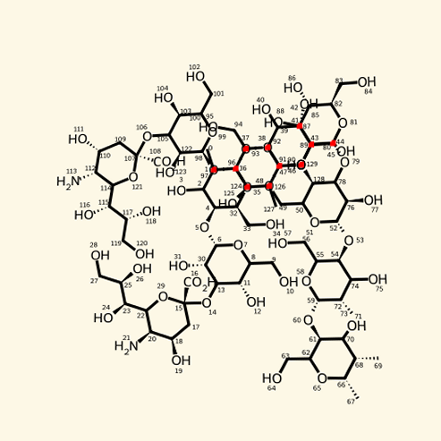 CC1C(O)[C@H](O[C@@H]2OC(CO)[C@H](O)C(O[C@]3(C(=O)O)C[C@@H](O)[C@@H](N)C([C@@H](O)[C@H](O)CO)O3)[C@@H]2O)[C@H](CO)O[C@H]1O[C@@H]1C(O)[C@H](O)C(CO)O[C@@H]1OCC1O[C@@H](O[C@@H]2C(CO)O[C@@H](O[C@@H]3C(CO)O[C@@H](C)[C@@H](C)C3O)[C@@H](C)C2O)[C@H](O)C(O[C@H]2O[C@H](CO)[C@@H](O)C(O)C2O[C@@H]2OC(CO)[C@@H](O[C@@H]3OC(CO)[C@H](O)C(O[C@]4(C(=O)O)C[C@@H](O)[C@@H](N)C([C@@H](O)[C@H](O)CO)O4)[C@@H]3O)[C@H](O)C2C)[C@@H]1O